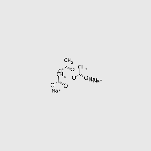 CC(=O)[O-].CC(=O)[O-].CC(=O)[O-].[Na+].[Na+].[Na+]